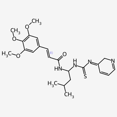 COc1cc(/C=C/C(=O)NC(CC(C)C)NC(=S)N=C2C=CC=NC2)cc(OC)c1OC